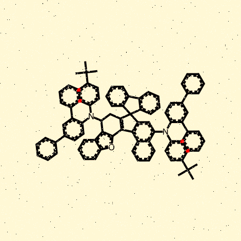 CC(C)(C)c1ccc(N(c2ccc(-c3ccccc3)cc2-c2ccccc2)c2cc3c(c4ccccc24)C2=C(CC(N(c4ccc(C(C)(C)C)cc4)c4ccc(-c5ccccc5)cc4-c4ccccc4)c4c2oc2ccccc42)C32c3ccccc3-c3ccccc32)cc1